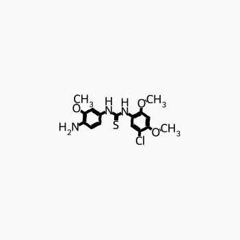 COc1cc(NC(=S)Nc2cc(Cl)c(OC)cc2OC)ccc1N